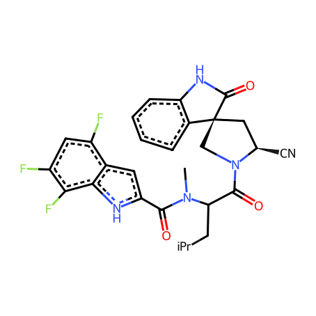 CC(C)CC(C(=O)N1C[C@]2(C[C@H]1C#N)C(=O)Nc1ccccc12)N(C)C(=O)c1cc2c(F)cc(F)c(F)c2[nH]1